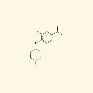 Cc1cc(C(C)C)ccc1OC1CCN(C)CC1